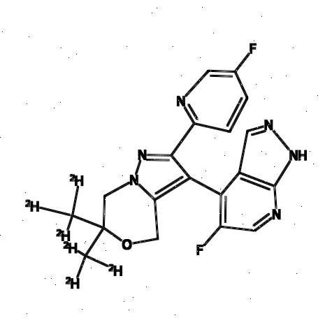 [2H]C([2H])([2H])C1(C([2H])([2H])[2H])Cn2nc(-c3ccc(F)cn3)c(-c3c(F)cnc4[nH]ncc34)c2CO1